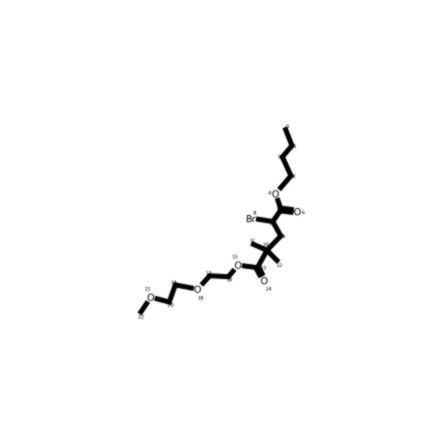 CCCCOC(=O)C(Br)CC(C)(C)C(=O)OCCOCCOC